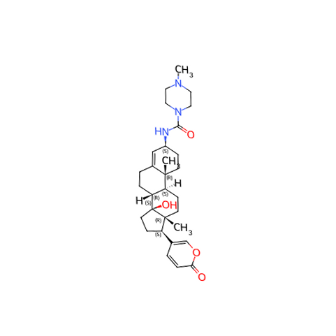 CN1CCN(C(=O)N[C@@H]2C=C3CC[C@@H]4[C@H](CC[C@]5(C)[C@@H](c6ccc(=O)oc6)CC[C@]45O)[C@@]3(C)CC2)CC1